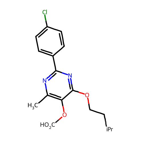 Cc1nc(-c2ccc(Cl)cc2)nc(OCCC(C)C)c1OC(=O)O